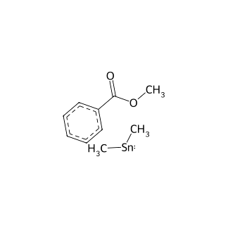 COC(=O)c1ccccc1.[CH3][Sn][CH3]